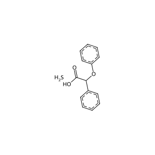 O=C(O)C(Oc1ccccc1)c1ccccc1.S